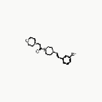 O=C(CN1CCOCC1)N1CCC(/C=C/c2cccc(Br)c2)CC1